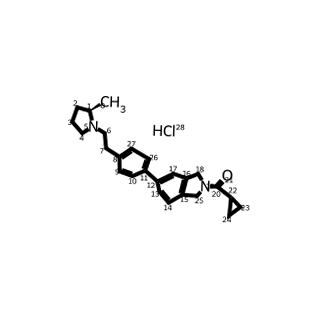 C[C@@H]1CCCN1CCc1ccc(-c2ccc3c(c2)CN(C(=O)C2CC2)C3)cc1.Cl